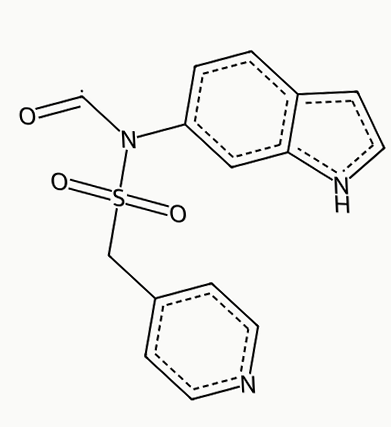 O=[C]N(c1ccc2cc[nH]c2c1)S(=O)(=O)Cc1ccncc1